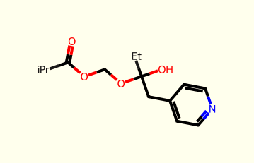 CCC(O)(Cc1ccncc1)OCOC(=O)C(C)C